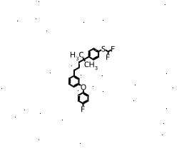 CC(C)(CCCc1cccc(Oc2ccc(F)cc2)c1)c1ccc(SC(F)F)cc1